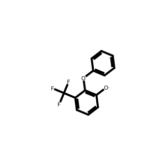 [O]c1cccc(C(F)(F)F)c1Oc1ccccc1